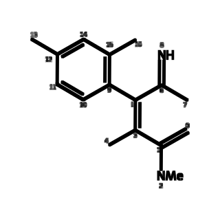 C=C(NC)/C(C)=C(\C(C)=N)c1ccc(C)cc1C